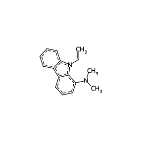 C=Cn1c2ccccc2c2cccc(N(C)C)c21